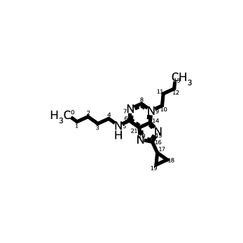 CCCCCNc1ncn(CCCC)c2nc(C3CC3)nc1-2